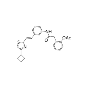 CC(=O)Oc1ccccc1CC(=O)Nc1cccc(/C=C/c2nc(C3CCC3)cs2)c1